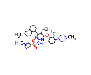 CCc1c(Oc2cccc(N3CCN(C)CC3)c2Cl)nc(NS(=O)(=O)c2cnn(C)c2)nc1-c1ccccc1CCC(C)C